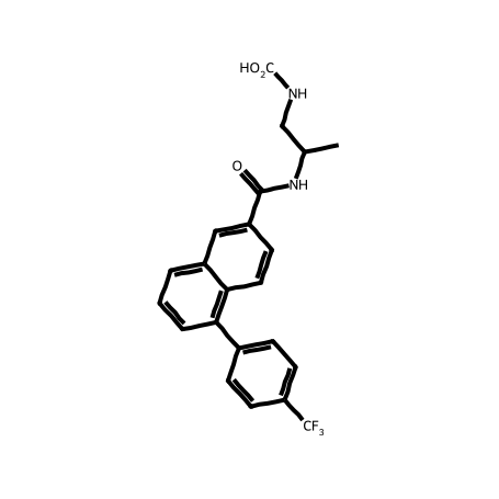 CC(CNC(=O)O)NC(=O)c1ccc2c(-c3ccc(C(F)(F)F)cc3)cccc2c1